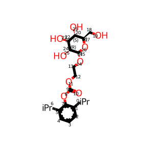 CC(C)c1cccc(C(C)C)c1OC(=O)OCCO[C@H]1O[C@H](CO)[C@@H](O)[C@H](O)[C@H]1O